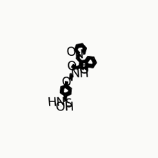 O=C(NCCOc1ccc(C(=S)NO)cc1)c1oc2ccccc2c1Cn1ccccc1=O